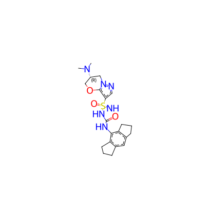 CN(C)[C@H]1COc2c(S(=N)(=O)NC(=O)Nc3c4c(cc5c3CCC5)CCC4)cnn2C1